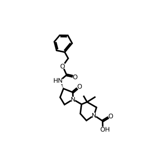 CC1(C)CN(C(=O)O)CCC1N1CC[C@H](NC(=O)OCc2ccccc2)C1=O